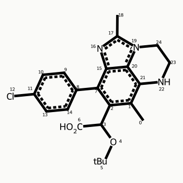 Cc1c(C(OC(C)(C)C)C(=O)O)c(-c2ccc(Cl)cc2)c2nc(C)n3c2c1NCC3